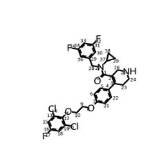 O=C(C1=C(c2ccc(OCCOc3c(Cl)cc(F)cc3Cl)cc2)CCNC1)N(Cc1cc(F)cc(F)c1)C1CC1